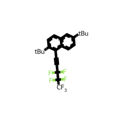 CC(C)(C)c1ccc2c(C#CC(F)(F)C(F)(F)C(F)(F)F)c(C(C)(C)C)ccc2c1